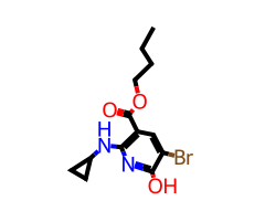 CCCCOC(=O)c1cc(Br)c(O)nc1NC1CC1